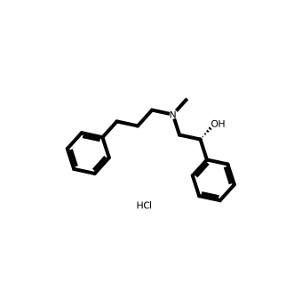 CN(CCCc1ccccc1)C[C@H](O)c1ccccc1.Cl